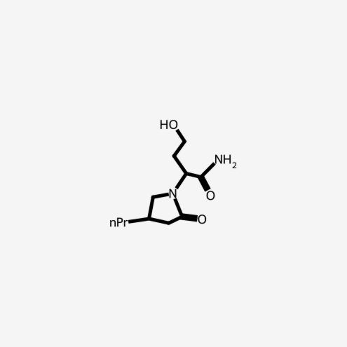 CCCC1CC(=O)N(C(CCO)C(N)=O)C1